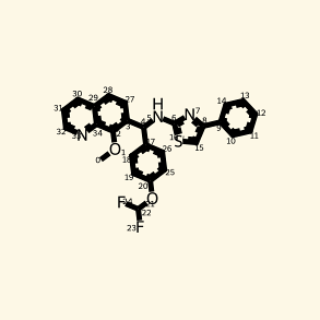 COc1c(C(Nc2nc(-c3ccccc3)cs2)c2ccc(OC(F)F)cc2)ccc2cccnc12